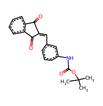 CC(C)(C)OC(=O)Nc1cccc(C=C2C(=O)c3ccccc3C2=O)c1